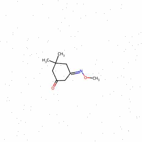 CON=C1CC(=O)CC(C)(C)C1